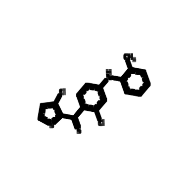 Cc1ccccc1Nc1ccc(C(=S)c2sccc2Cl)c(Cl)c1